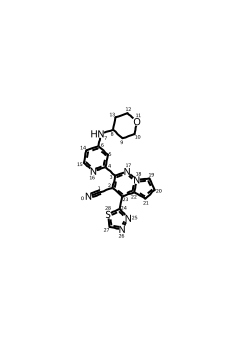 N#Cc1c(-c2cc(NC3CCOCC3)ccn2)nn2cccc2c1-c1nncs1